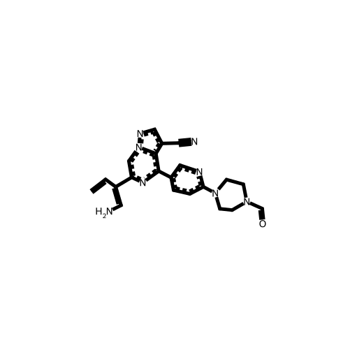 C=C/C(=C\N)c1cn2ncc(C#N)c2c(-c2ccc(N3CCN(C=O)CC3)nc2)n1